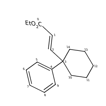 CCOC(=O)C=CC1(c2ccccc2)CCCCC1